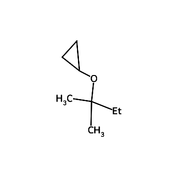 [CH2]CC(C)(C)OC1CC1